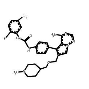 CN1CCC(COCc2cn3ncnc(N)c3c2-c2ccc(NC(=O)Nc3cc(C(F)(F)F)ccc3F)cc2)CC1